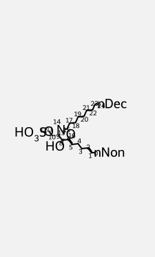 CCCCCCCCC/C=C/CC/C=C/[C@@H](O)[C@H](COS(=O)(=O)O)N(C)C(=O)CCCCCCCCCCCCCCCCC